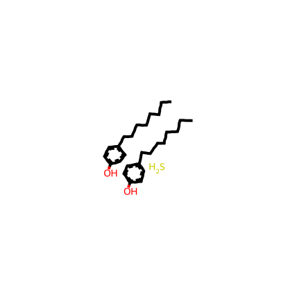 CCCCCCCCc1ccc(O)cc1.CCCCCCCCc1ccc(O)cc1.S